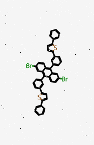 Brc1ccc2c(-c3cccc(-c4ccc(-c5ccccc5)s4)c3)c3cc(Br)ccc3c(-c3cccc(-c4ccc(-c5ccccc5)s4)c3)c2c1